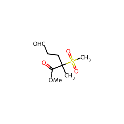 COC(=O)C(C)(CCC=O)S(C)(=O)=O